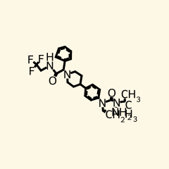 C=CN(C(=O)N(N)C(C)C)c1ccc(C2CCN(C(C(=O)NCC(F)(F)F)c3ccccc3)CC2)cc1